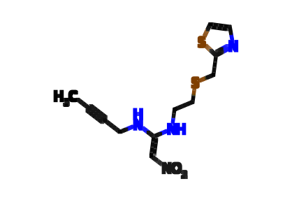 CC#CCN/C(=C/[N+](=O)[O-])NCCSCc1nccs1